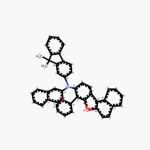 CC1(C)c2ccccc2-c2ccc(N(c3ccc4ccccc4c3)c3ccc4c(oc5ccc6ccccc6c54)c3-c3ccccc3)cc21